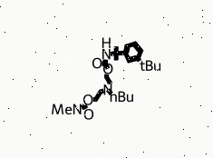 CCCCN(CCOC(=O)NC)CCOC(=O)NC(C)(C)c1cccc(C(C)(C)C)c1